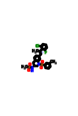 C/C(=C\c1ccc2c(c1)N(S(=O)(=O)c1cccc(C)c1)C[C@@H](NS(C)(=O)=O)C2)c1c(F)cccc1Cl